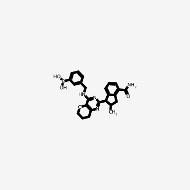 CC1Cc2c(C(N)=O)cccc2C1c1nc2c(c(NCc3cccc(B(O)O)c3)n1)OCCC2